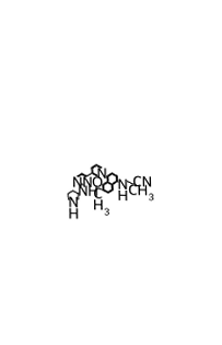 Cc1ccc2c(NC[C@@H](C)C#N)cccc2c1Oc1ncccc1-c1ccnc(N[C@H]2CCCNC2)n1